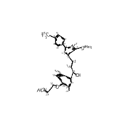 CCCCCCc1nc(-c2ccc(C(F)(F)F)cc2)sc1CCC(O)c1ccc(OCCO)c(C)c1